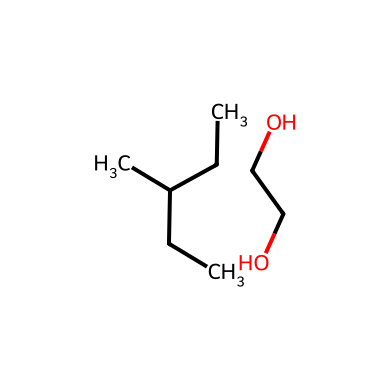 CCC(C)CC.OCCO